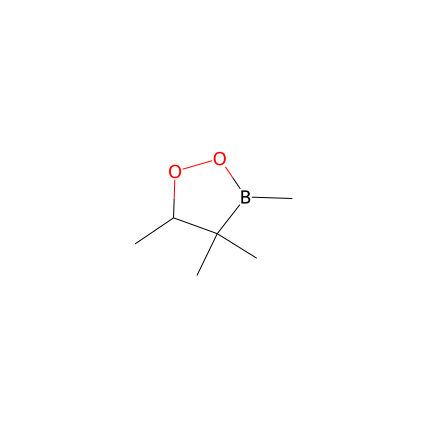 CB1OOC(C)C1(C)C